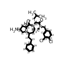 CC(C)C[C@H](C(=O)N(C)Cc1ccc(Cl)c(Cl)c1)N1CCC(CCc2ccccc2)N2C[C@H](N)C[C@H]2C1=O